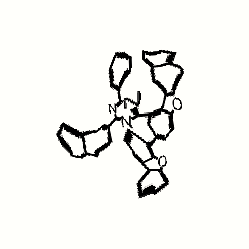 c1ccc(-c2nc(-c3ccc4ccccc4c3)nc(-c3c(-c4cccc5c4oc4ccccc45)ccc4oc5cc6ccccc6cc5c34)n2)cc1